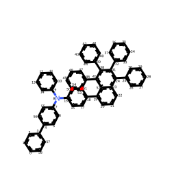 c1ccc(-c2ccc(N(c3ccccc3)c3ccc(-c4cccc5c(-c6ccccc6)c(-c6ccccc6)c(-c6ccccc6)c(-c6ccccc6)c45)cc3)cc2)cc1